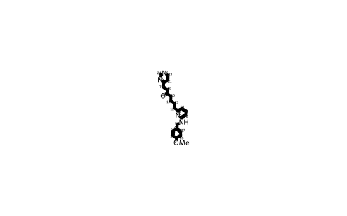 COc1ccc(CNc2cccc(CCCCC(=O)/C=C/c3ccncn3)n2)cc1